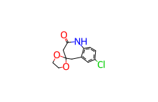 O=C1CC2(Cc3cc(Cl)ccc3N1)OCCO2